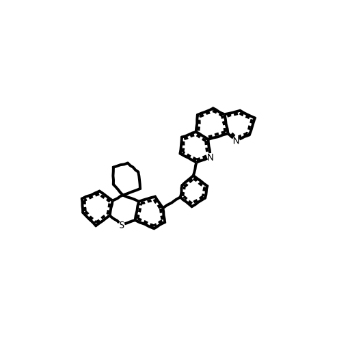 c1cc(-c2ccc3c(c2)C2(CCCCC2)c2ccccc2S3)cc(-c2ccc3ccc4cccnc4c3n2)c1